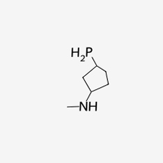 CNC1CCC(P)C1